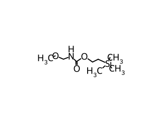 COCNC(=O)OCC[Si](C)(C)C